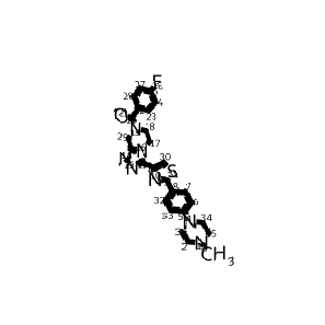 CN1CCN(c2ccc(-c3nc(-c4nnc5n4CCN(C(=O)c4ccc(F)cc4)C5)cs3)cc2)CC1